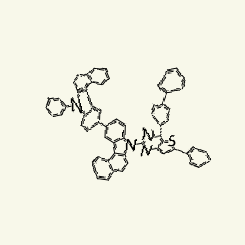 c1ccc(-c2ccc(-c3nc(-n4c5ccc(-c6ccc7c(c6)c6c8ccccc8ccc6n7-c6ccccc6)cc5c5c6ccccc6ccc54)nc4cc(-c5ccccc5)sc34)cc2)cc1